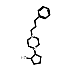 OC1CCCC1N1CCN(CCCc2ccccc2)CC1